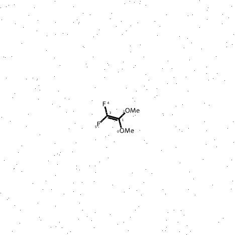 COC(OC)=C(F)F